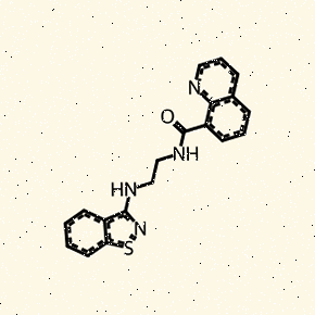 O=C(NCCNc1nsc2ccccc12)c1cccc2cccnc12